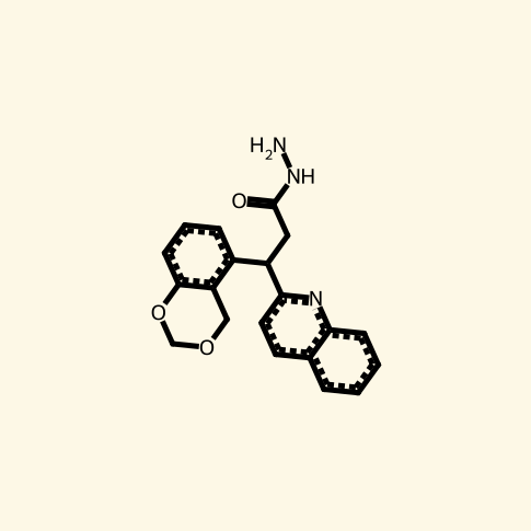 NNC(=O)CC(c1ccc2ccccc2n1)c1cccc2c1COCO2